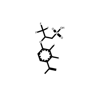 C=C(C)c1ccc(OC(CS(=O)(=O)O)C(F)(F)F)c(I)c1I